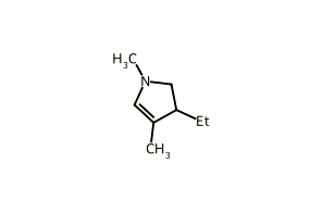 CCC1CN(C)C=C1C